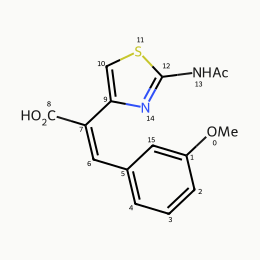 COc1cccc(C=C(C(=O)O)c2csc(NC(C)=O)n2)c1